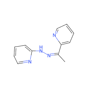 CC(=NNc1ccccn1)c1ccccn1